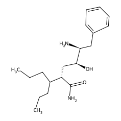 CCCC(CCC)[C@H](C[C@H](O)[C@@H](N)Cc1ccccc1)C(N)=O